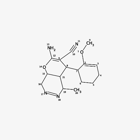 COC1=CCCCC1C1C(C#N)=C(N)OC2CN=NC(C)C21